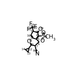 CS(=O)(=O)C1=C(CC(C#N)C(=O)C2CC2)C=CC(C(F)(F)F)C1=O